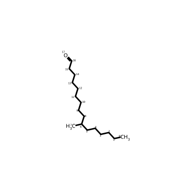 CCCCCCC(C)CCCCCCCCC=O